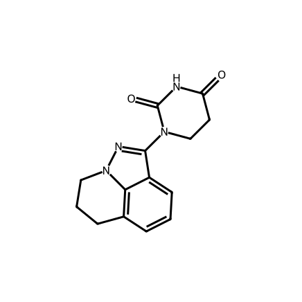 O=C1CCN(c2nn3c4c(cccc24)CCC3)C(=O)N1